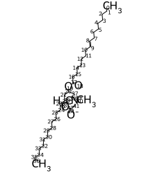 CCCCCCCCC=CCCCCCCCC(=O)OC(CCCCCCCCCCCCCCCC)C[N+](C)(C)CC(=O)[O-]